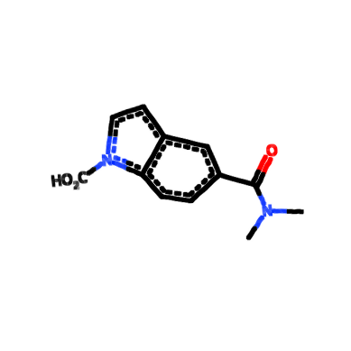 CN(C)C(=O)c1ccc2c(ccn2C(=O)O)c1